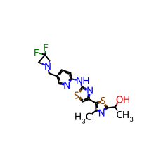 Cc1nc(C(C)O)sc1-c1csc(Nc2ccc(CN3CC(F)(F)C3)cn2)n1